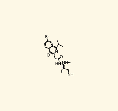 CN/C(NC(=O)Cn1nc(C(C)C)c2cc(Br)ccc2c1=O)=C(/F)C=N